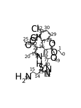 CCOC(=O)C1=C(C(OC)c2nnc(CCN)s2)NC(C)=C(C(=O)OC)C1c1cccc(Cl)c1Cl